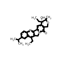 C=C1OCc2c(cc3n(c2=O)Cc2c-3nc3ccc(C(C)C)cc3c2CC)[C@@]1(O)CC